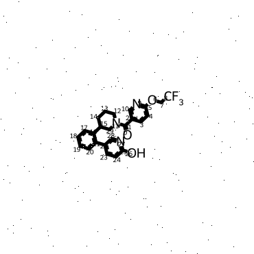 O=C(c1ccc(OCC(F)(F)F)nc1)N1CCCC(c2ccccc2-c2ccc(O)nc2)C1